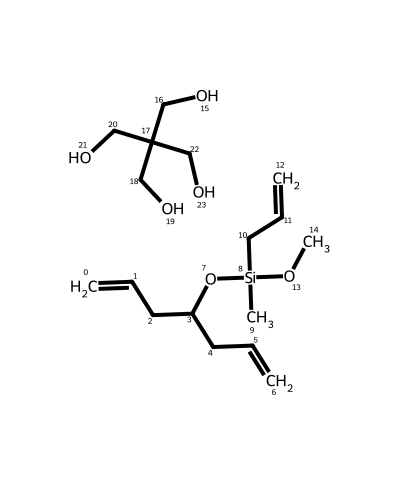 C=CCC(CC=C)O[Si](C)(CC=C)OC.OCC(CO)(CO)CO